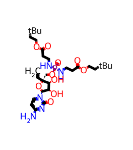 C=C[C@]1(COP(=O)(NCCC(=O)OCCC(C)(C)C)NCCC(=O)OCCC(C)(C)C)O[C@@H](n2ccc(N)nc2=O)[C@H](O)[C@@H]1O